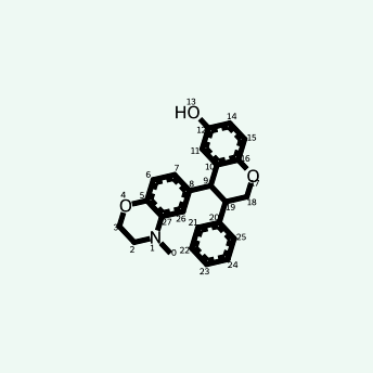 CN1CCOc2ccc(C3c4cc(O)ccc4OCC3c3ccccc3)cc21